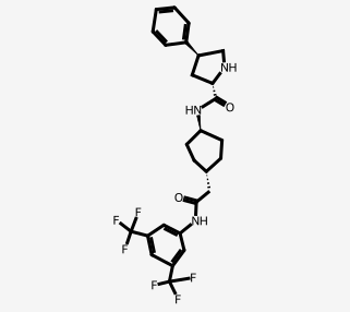 O=C(C[C@H]1CC[C@H](NC(=O)[C@@H]2C[C@@H](c3ccccc3)CN2)CC1)Nc1cc(C(F)(F)F)cc(C(F)(F)F)c1